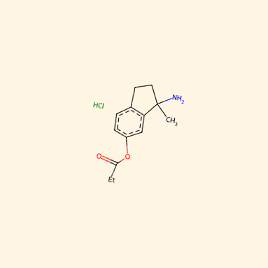 CCC(=O)Oc1ccc2c(c1)C(C)(N)CC2.Cl